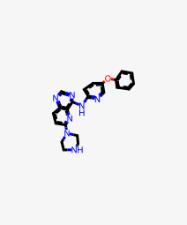 c1ccc(Oc2ccc(Nc3ncnc4ccc(N5CCNCC5)nc34)nc2)cc1